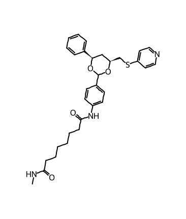 CNC(=O)CCCCCCC(=O)Nc1ccc(C2O[C@H](CSc3ccncc3)C[C@H](c3ccccc3)O2)cc1